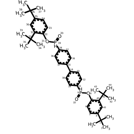 CC(C)(C)c1ccc(O[PH](=O)c2ccc(-c3ccc([PH](=O)Oc4ccc(C(C)(C)C)cc4C(C)(C)C)cc3)cc2)c(C(C)(C)C)c1